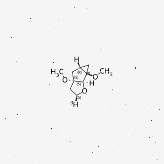 [3H][C@H]1C[C@@]2(OC)C[C@@H]3C[C@]3(OC)[C@H]2O1